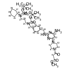 COC(=O)CC(=O)N1CCN(c2cc(N)nc(NCc3ccc(CN(CCCN(C(=O)OC(C)(C)C)C4CCCCC4)C(=O)OC(C)(C)C)cc3)n2)CC1